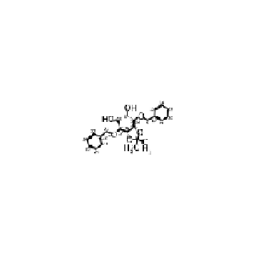 CC1(C)O[C@H]([C@H](CO)OCc2ccccc2)[C@@H]([C@H](CO)OCc2ccccc2)O1